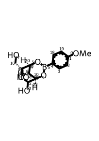 COc1ccc(B2O[C@H]3[C@H](O)[C@@H](O2)C(O)O[C@@H]3CO)cc1